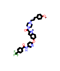 COc1ccc(/C=C/CN2CCN(C(=O)c3cc4cc(Oc5ccc(NC(=O)c6ccc(C(F)(F)F)cc6)cn5)ccc4n3C)CC2)cc1